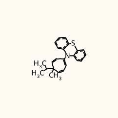 CC(C)C1(C)C=CC=C(N2c3ccccc3Sc3ccccc32)C=C1